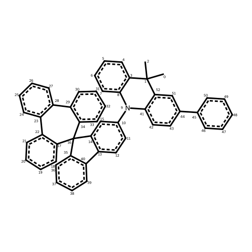 CC1(C)c2ccccc2N(c2ccc3c(c2)C2(c4ccccc4-c4ccccc4-c4ccccc42)c2ccccc2-3)c2ccc(-c3ccccc3)cc21